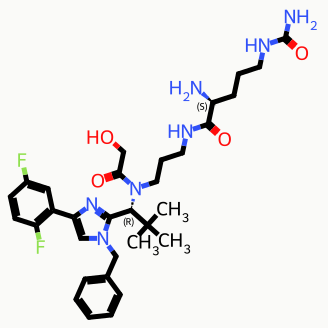 CC(C)(C)[C@H](c1nc(-c2cc(F)ccc2F)cn1Cc1ccccc1)N(CCCNC(=O)[C@@H](N)CCCNC(N)=O)C(=O)CO